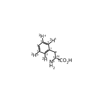 [2H]c1cc([2H])c([2H])c(C[C@H](N)C(=O)O)c1[2H]